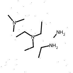 CCN.CCN(CC)CC.CN.CN(C)C